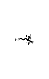 FC(F)(F)C(F)(CCCS)C(F)(F)F